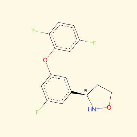 Fc1cc(Oc2cc(F)ccc2F)cc([C@H]2CCON2)c1